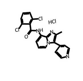 Cc1nc2c(NC(=O)c3c(Cl)cccc3Cl)cccn2c1-c1ccncc1.Cl